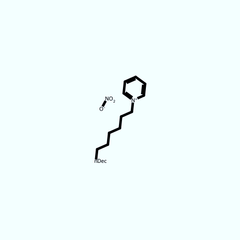 CCCCCCCCCCCCCCCC[n+]1ccccc1.O=[N+]([O-])[O-]